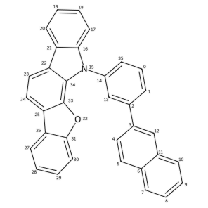 c1cc(-c2ccc3ccccc3c2)cc(-n2c3ccccc3c3ccc4c5ccccc5oc4c32)c1